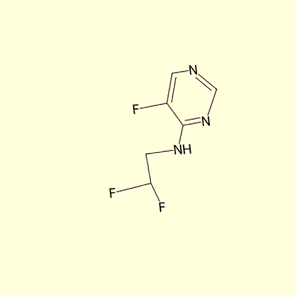 Fc1cncnc1NCC(F)F